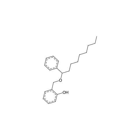 CCCCCCCCC(OCc1ccccc1O)c1ccccc1